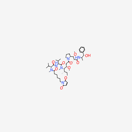 CC[C@H](C)[C@@H]([C@@H](CC(=O)N1CCC[C@H]1[C@H](OC)[C@@H](C)C(=O)NC(C)[C@@H](O)c1ccccc1)OC)N(C)C(=O)[C@@H](NC(=O)[C@H](C(C)C)N(C)C(=O)CCCCCN1C(=O)C=CC1=O)C(C)C